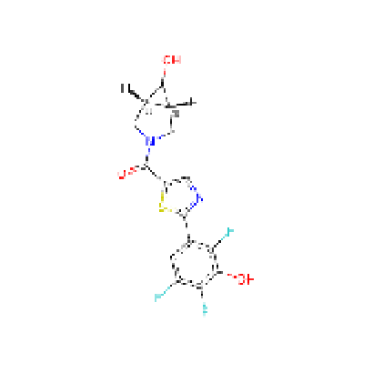 O=C(c1cnc(-c2cc(F)c(F)c(O)c2F)s1)N1C[C@@H]2C(O)[C@@H]2C1